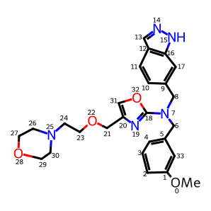 COc1cccc(CN(Cc2ccc3cn[nH]c3c2)c2nc(COCCN3CCOCC3)co2)c1